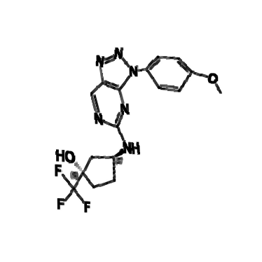 COc1ccc(-n2nnc3cnc(N[C@H]4CC[C@@](O)(C(F)(F)F)C4)nc32)cc1